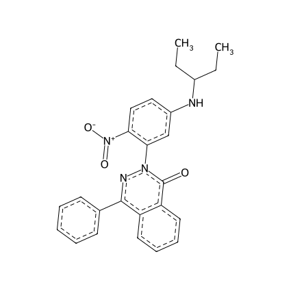 CCC(CC)Nc1ccc([N+](=O)[O-])c(-n2nc(-c3ccccc3)c3ccccc3c2=O)c1